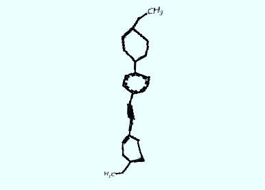 CCC1CC=C(C#Cc2ccc(C3CCC(CC)CC3)cc2)CC1